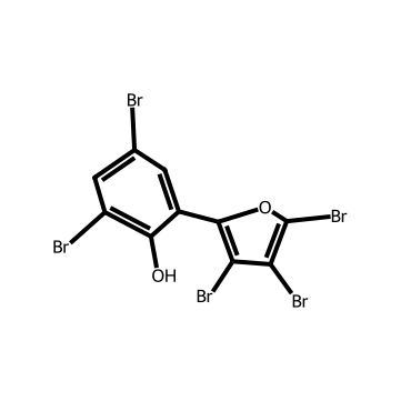 Oc1c(Br)cc(Br)cc1-c1oc(Br)c(Br)c1Br